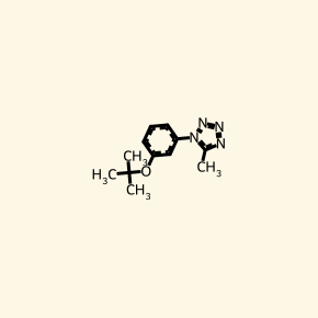 Cc1nnnn1-c1cccc(OC(C)(C)C)c1